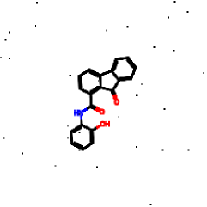 O=C(Nc1ccccc1O)c1cccc2c1C(=O)c1ccccc1-2